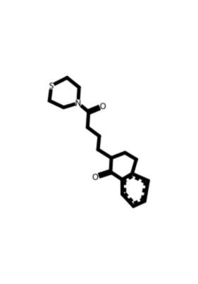 O=C1c2ccccc2CCC1CCCC(=O)N1CCSCC1